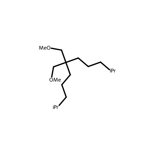 COCC(CCCC(C)C)(CCCC(C)C)COC